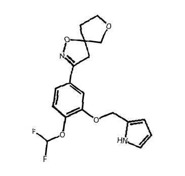 FC(F)Oc1ccc(C2=NOC3(CCOC3)C2)cc1OCc1ccc[nH]1